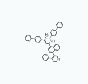 C/C(=C\C(NCc1ccc(-c2ccccc2)cc1)c1ccc(-c2cnccc2-c2ccccc2)c2ccccc12)c1ccc(-c2ccccc2)cc1